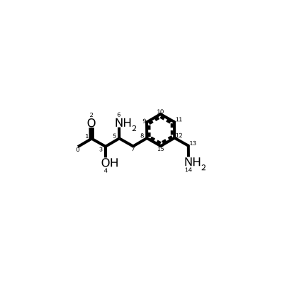 CC(=O)C(O)C(N)Cc1cccc(CN)c1